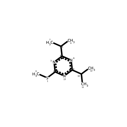 CSc1nc(C(C)C)nc(C(C)C)n1